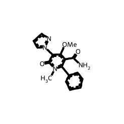 COc1c(C(N)=O)c(-c2ccccc2)n(C)c(=O)c1-n1cccn1